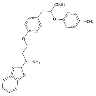 CCOC(=O)C(Cc1ccc(OCCN(C)c2nc3ccccc3o2)cc1)Oc1ccc(C)cc1